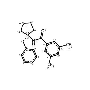 O=C(N[C@]1(Cc2ccccc2)CCNC1)c1cc(C(F)(F)F)cc(C(F)(F)F)c1